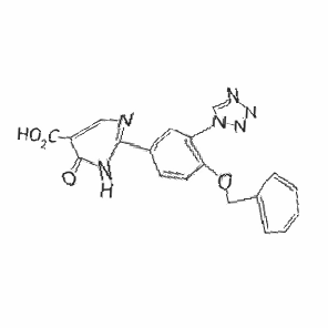 O=C(O)c1cnc(-c2ccc(OCc3ccccc3)c(-n3cnnn3)c2)[nH]c1=O